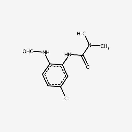 CN(C)C(=O)Nc1cc(Cl)ccc1NC=O